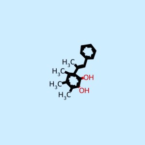 CC(=Cc1ccccc1)c1c(C)c(C)c(C)c(O)c1O